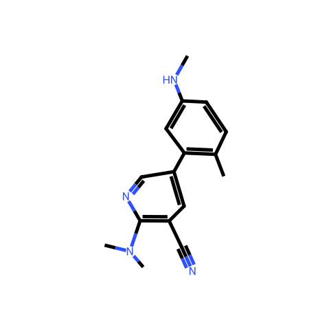 CNc1ccc(C)c(-c2cnc(N(C)C)c(C#N)c2)c1